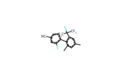 Cc1[c]c(C)c(-c2ccc(C#N)cc2F)c(C(F)(C(F)(F)F)C(F)(F)F)c1